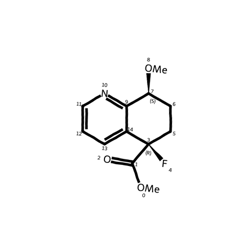 COC(=O)[C@@]1(F)CC[C@H](OC)c2ncccc21